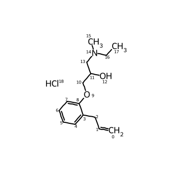 C=CCc1ccccc1OCC(O)CN(C)CC.Cl